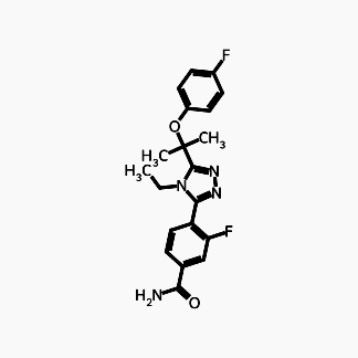 CCn1c(-c2ccc(C(N)=O)cc2F)nnc1C(C)(C)Oc1ccc(F)cc1